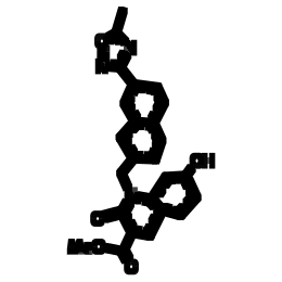 COC(=O)c1cc2ccc(O)cc2n(Cc2ccc3ccc(-c4noc(C)n4)cc3c2)c1=O